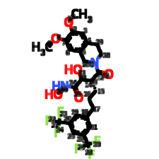 COc1cc2c(cc1OC)CN(C(=O)[C@H](CCCc1cc(C(F)(F)F)cc(C(F)(F)F)c1)[C@H](O)C(=O)NO)CC2